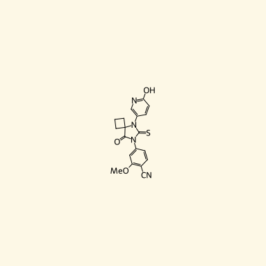 COc1cc(N2C(=O)C3(CCC3)N(c3ccc(O)nc3)C2=S)ccc1C#N